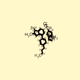 CC1=C2c3occc3C1[Si]2(C)C.CCCCc1ccc(-c2cccc3c2C=C(C)[CH]3[Zr+2])cc1.[Cl-].[Cl-]